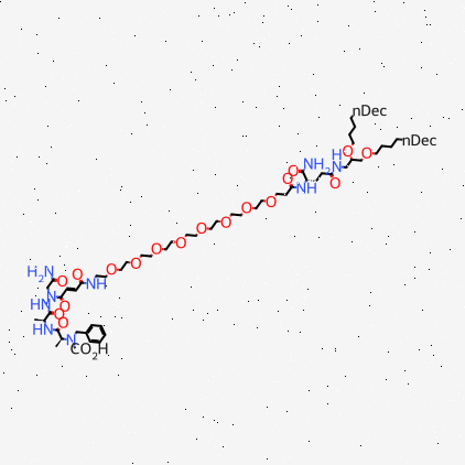 CCCCCCCCCCCCCCOCC(CNC(=O)CC[C@H](NC(=O)CCOCCOCCOCCOCCOCCOCCOCCOCCNC(=O)/C=C/C(=O)N(CC(N)=O)NC(=O)[C@H](C)NC(=O)[C@H](C)N(Cc1ccccc1)C(=O)O)C(N)=O)OCCCCCCCCCCCCCC